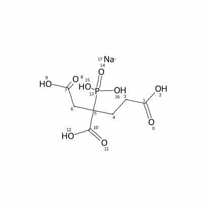 O=C(O)CCC(CC(=O)O)(C(=O)O)P(=O)(O)O.[Na]